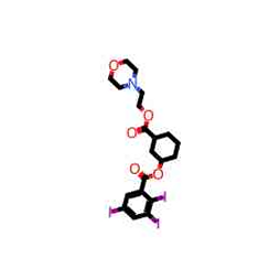 O=C(OC1CCCC(C(=O)OCCN2CCOCC2)C1)c1cc(I)cc(I)c1I